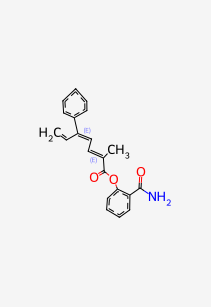 C=C/C(=C\C=C(/C)C(=O)Oc1ccccc1C(N)=O)c1ccccc1